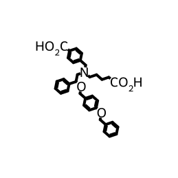 O=C(O)CCCCN(Cc1ccc(C(=O)O)cc1)CC(OCc1ccc(OCc2ccccc2)cc1)c1ccccc1